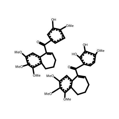 COc1ccc(C(=O)C2=CCCCc3c2cc(OC)c(OC)c3OC)c(O)c1O.COc1ccc(C(=O)C2=CCCCc3c2cc(OC)c(OC)c3OC)cc1O